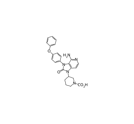 Nc1nccc2c1n(-c1ccc(Oc3ccccc3)cc1)c(=O)n2C1CCCN(C(=O)O)C1